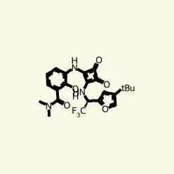 CN(C)C(=O)c1cccc(Nc2c(N[C@@H](c3cc(C(C)(C)C)co3)C(F)(F)F)c(=O)c2=O)c1O